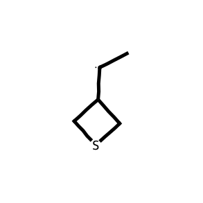 C[CH]C1CSC1